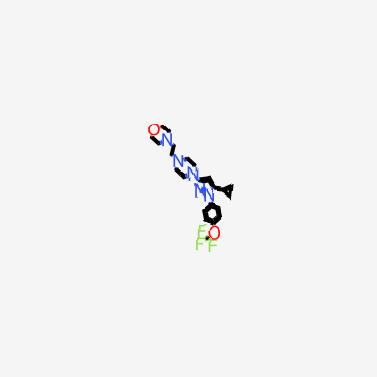 FC(F)(F)Oc1ccc(-n2nc(N3CCN(CCN4CCOCC4)CC3)cc2C2CC2)cc1